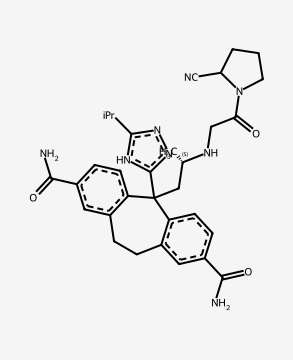 CC(C)c1nnc(C2(C[C@H](C)NCC(=O)N3CCCC3C#N)c3ccc(C(N)=O)cc3CCc3cc(C(N)=O)ccc32)[nH]1